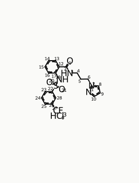 Cl.O=C(NCCCn1cccn1)c1ccccc1NS(=O)(=O)c1cccc(C(F)(F)F)c1